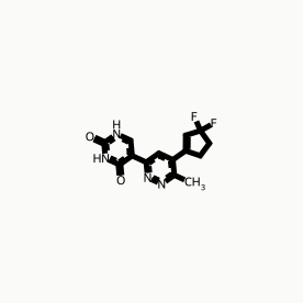 Cc1nnc(-c2c[nH]c(=O)[nH]c2=O)cc1C1=CC(F)(F)CC1